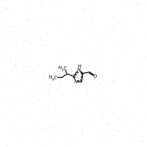 CCC(C)c1ncc(C=O)[nH]1